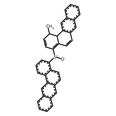 CC1C=CC([S+]([O-])c2cccc3c2ccc2cc4ccccc4cc23)=C2C=Cc3cc4ccccc4cc3C21